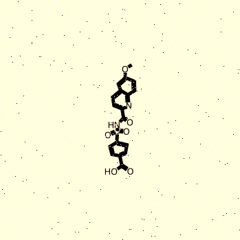 COc1ccc2nc(C(=O)NS(=O)(=O)c3ccc(C(=O)O)cc3)ccc2c1